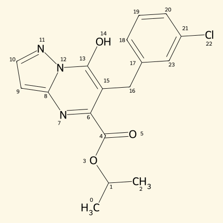 CC(C)OC(=O)c1nc2ccnn2c(O)c1Cc1cccc(Cl)c1